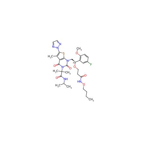 CCCCONC(=O)CCO[C@@H](Cn1c(=O)n(C(C)(C)C(=O)NC(C)C)c(=O)c2c(C)c(-n3nccn3)sc21)c1cc(F)ccc1OC